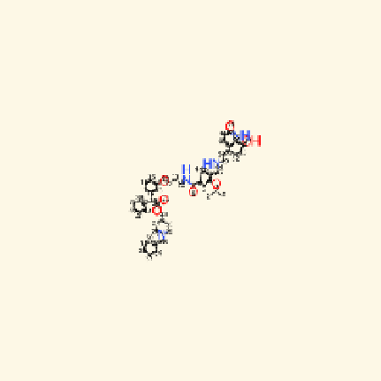 CC(C)Oc1cc(C(=O)NCCCOc2cccc(C(C(=O)OCC3CCN(Cc4ccccc4)CC3)c3ccccc3)c2)ccc1CNCCc1ccc(O)c2[nH]c(=O)ccc12